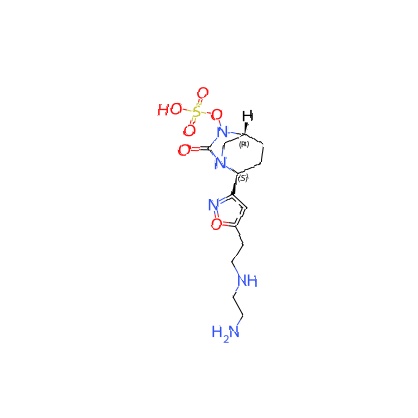 NCCNCCc1cc([C@@H]2CC[C@@H]3CN2C(=O)N3OS(=O)(=O)O)no1